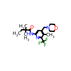 CCC(C)(C)C(=O)Nc1cc(CN2CCOCC2)c(C)c(C(F)(F)F)n1